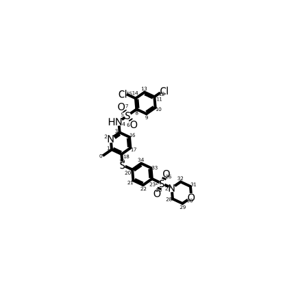 Cc1nc(NS(=O)(=O)c2ccc(Cl)cc2Cl)ccc1Sc1ccc(S(=O)(=O)N2CCOCC2)cc1